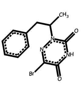 CC(Cc1ccccc1)n1nc(Br)c(=O)[nH]c1=O